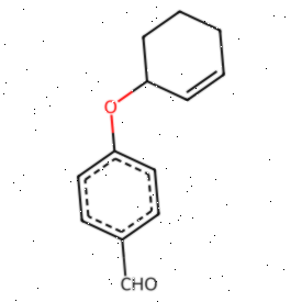 O=Cc1ccc(OC2C=CCCC2)cc1